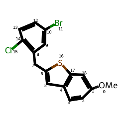 COc1ccc2cc(Cc3cc(Br)ccc3Cl)sc2c1